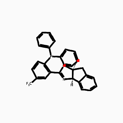 FC(F)(F)c1ccc(P(c2ccccc2)c2ccccc2)c(C2=N[C@@H]3c4ccccc4C[C@@H]3O2)c1